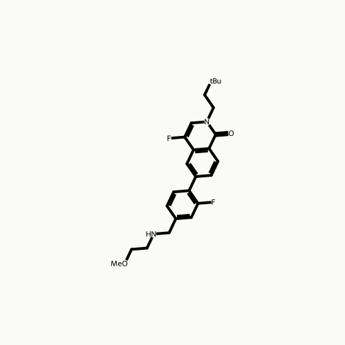 COCCNCc1ccc(-c2ccc3c(=O)n(CCC(C)(C)C)cc(F)c3c2)c(F)c1